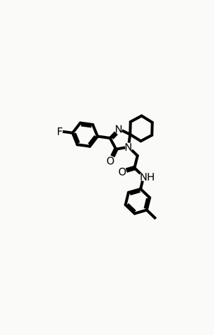 Cc1cccc(NC(=O)CN2C(=O)C(c3ccc(F)cc3)=NC23CCCCC3)c1